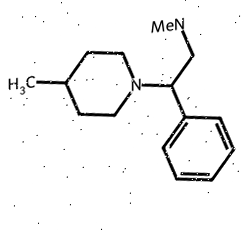 CNCC(c1ccccc1)N1CCC(C)CC1